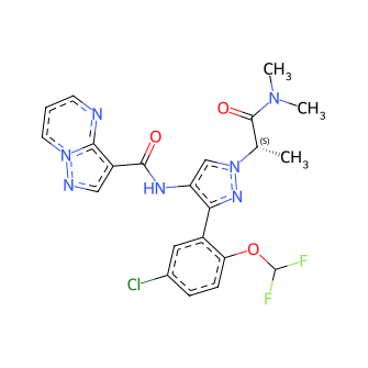 C[C@@H](C(=O)N(C)C)n1cc(NC(=O)c2cnn3cccnc23)c(-c2cc(Cl)ccc2OC(F)F)n1